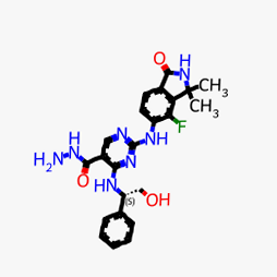 CC1(C)NC(=O)c2ccc(Nc3ncc(C(=O)NN)c(N[C@H](CO)c4ccccc4)n3)c(F)c21